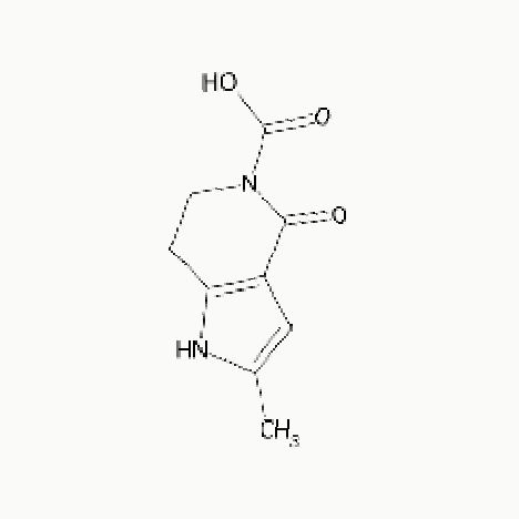 Cc1cc2c([nH]1)CCN(C(=O)O)C2=O